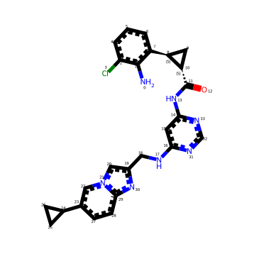 Nc1c(Cl)cccc1[C@H]1C[C@@H]1C(=O)Nc1cc(NCc2cn3cc(C4CC4)ccc3n2)ncn1